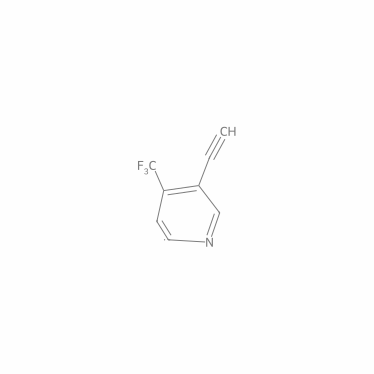 C#Cc1cn[c]cc1C(F)(F)F